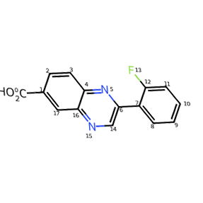 O=C(O)c1ccc2nc(-c3ccccc3F)cnc2c1